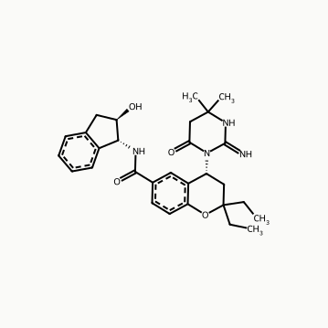 CCC1(CC)C[C@@H](N2C(=N)NC(C)(C)CC2=O)c2cc(C(=O)N[C@@H]3c4ccccc4C[C@H]3O)ccc2O1